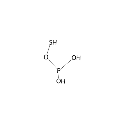 OP(O)OS